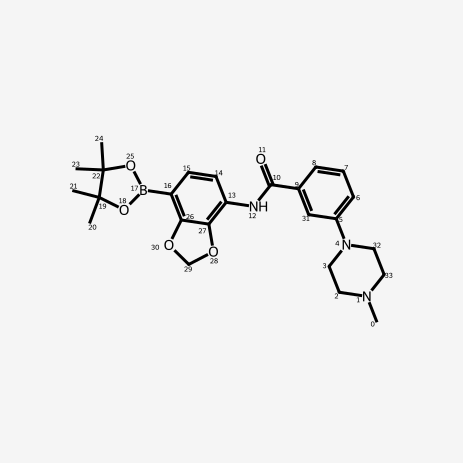 CN1CCN(c2cccc(C(=O)Nc3ccc(B4OC(C)(C)C(C)(C)O4)c4c3OCO4)c2)CC1